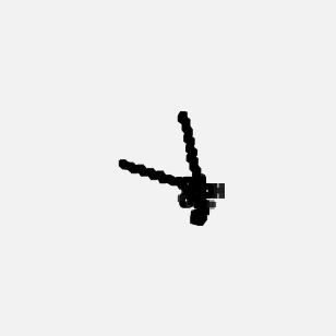 CCCCCCCCCCCCCCO[C@H]1[C@H](O)[C@@H](C[N+](C)(C)C2CCCC2)O[C@](I)(OC)[C@@H]1OCCCCCCCCCCCCCC